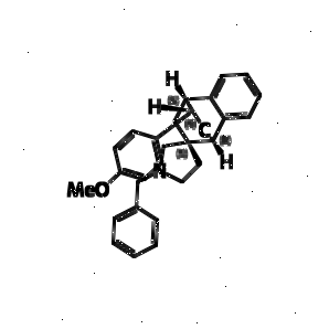 COc1ccc([C@H]2C[C@@H]3c4ccccc4[C@H]2C[C@]32CCN(Cc3ccccc3)C2)cc1